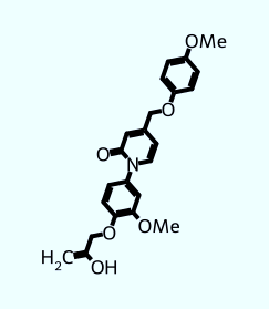 C=C(O)COc1ccc(-n2ccc(COc3ccc(OC)cc3)cc2=O)cc1OC